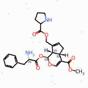 COC(=O)C1=CO[C@@H](OC(=O)[C@@H](N)Cc2ccccc2)[C@@H]2C(COC(=O)C3CCCN3)=CC[C@H]12